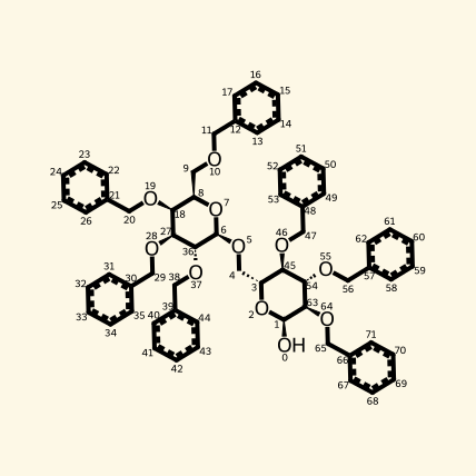 O[C@H]1O[C@H](CO[C@@H]2O[C@H](COCc3ccccc3)[C@H](OCc3ccccc3)[C@H](OCc3ccccc3)[C@H]2OCc2ccccc2)[C@@H](OCc2ccccc2)[C@H](OCc2ccccc2)[C@H]1OCc1ccccc1